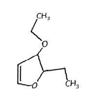 CCOC1C=COC1CC